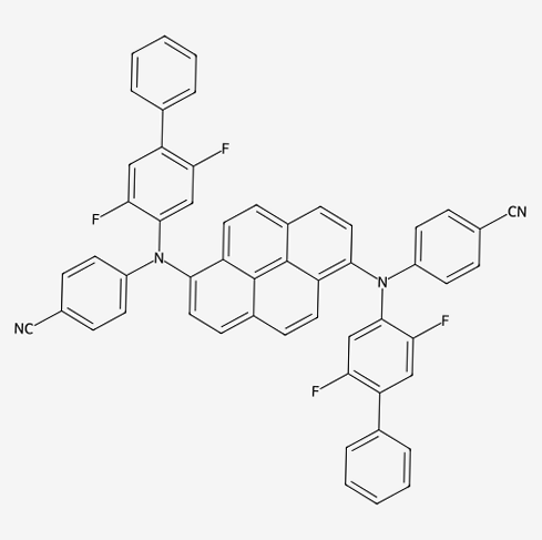 N#Cc1ccc(N(c2cc(F)c(-c3ccccc3)cc2F)c2ccc3ccc4c(N(c5ccc(C#N)cc5)c5cc(F)c(-c6ccccc6)cc5F)ccc5ccc2c3c54)cc1